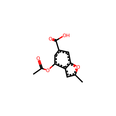 CC(=O)Oc1cc(C(=O)O)cc2oc(C)cc12